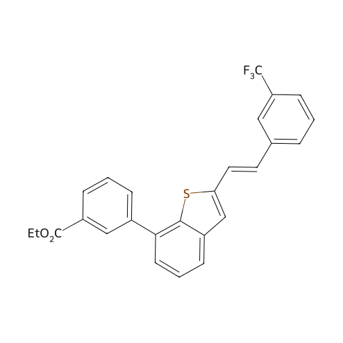 CCOC(=O)c1cccc(-c2cccc3cc(/C=C/c4cccc(C(F)(F)F)c4)sc23)c1